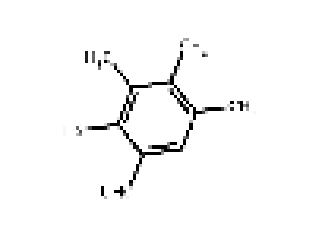 Cc1cc(C=O)c(S)c(C)c1C